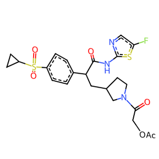 CC(=O)OCC(=O)N1CCC(CC(C(=O)Nc2ncc(F)s2)c2ccc(S(=O)(=O)C3CC3)cc2)C1